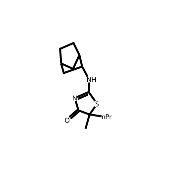 CCCC1(C)SC(NC2CC3CCC2C3)=NC1=O